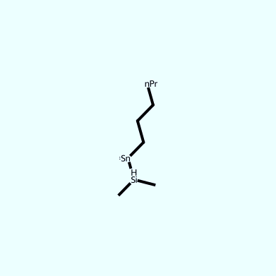 CCCCC[CH2][Sn][SiH](C)C